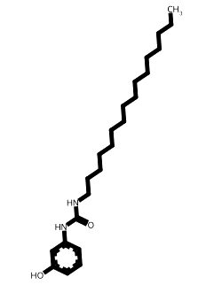 CCCCCCCCCCCCCCCCNC(=O)Nc1cccc(O)c1